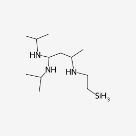 CC(C)NC(CC(C)NCC[SiH3])NC(C)C